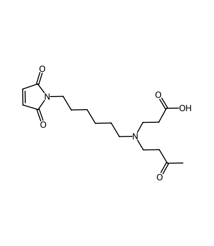 CC(=O)CCN(CCCCCCN1C(=O)C=CC1=O)CCC(=O)O